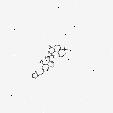 COc1ccc2c(c1S(=O)(=O)Nc1noc3cc(Cn4cccn4)cc(OC)c13)OCCC2(C)C